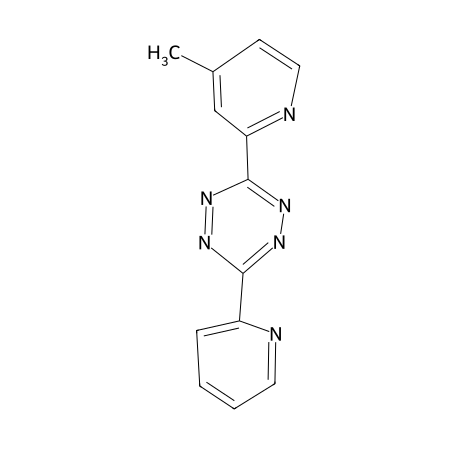 Cc1ccnc(-c2nnc(-c3ccccn3)nn2)c1